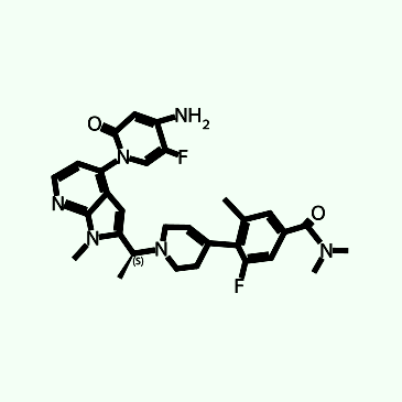 Cc1cc(C(=O)N(C)C)cc(F)c1C1=CCN([C@@H](C)c2cc3c(-n4cc(F)c(N)cc4=O)ccnc3n2C)CC1